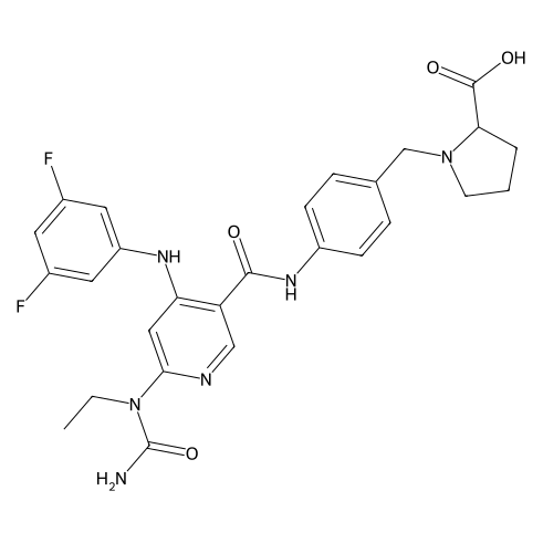 CCN(C(N)=O)c1cc(Nc2cc(F)cc(F)c2)c(C(=O)Nc2ccc(CN3CCCC3C(=O)O)cc2)cn1